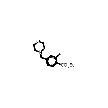 CCOC(=O)c1ccc(CN2CCOCC2)cc1C